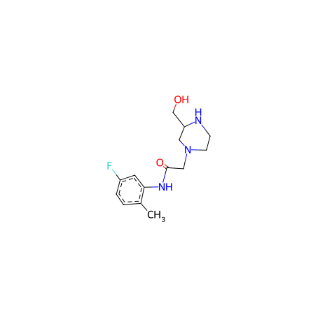 Cc1ccc(F)cc1NC(=O)CN1CCNC(CO)C1